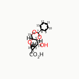 O=C(O)C1[C@@H]2[C@@H](O)[C@@H]3O[C@H](c4ccccc4)OC[C@H]3O[C@H]12